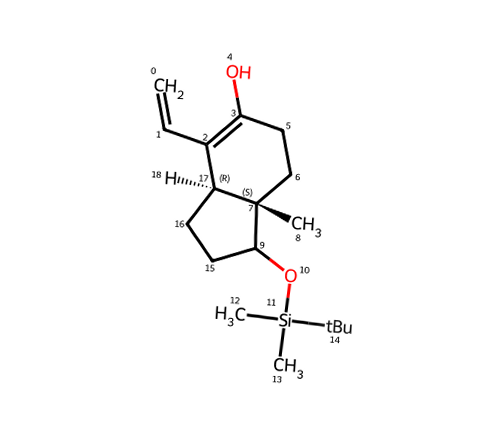 C=CC1=C(O)CC[C@]2(C)C(O[Si](C)(C)C(C)(C)C)CC[C@@H]12